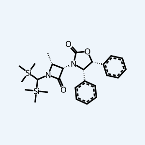 C[C@@H]1[C@H](N2C(=O)O[C@H](c3ccccc3)[C@@H]2c2ccccc2)C(=O)N1C([Si](C)(C)C)[Si](C)(C)C